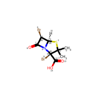 CC1(C)S[C@@H]2[C@H](Br)C(=O)N2[C@@]1(Br)C(=O)O